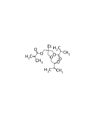 C=C(C)C(=O)COCC(CC)(COC(=O)C(=C)C)COC(=O)C(=C)C